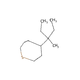 CCC(C)(CC)C1CCSCC1